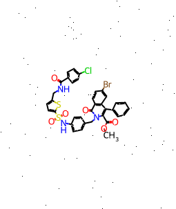 COC(=O)c1c(-c2ccccc2)c2cc(Br)ccc2c(=O)n1Cc1ccc(NS(=O)(=O)c2ccc(CNC(=O)c3ccc(Cl)cc3)s2)cc1